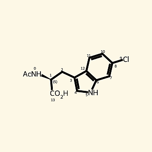 CC(=O)N[C@@H](Cc1c[nH]c2cc(Cl)ccc12)C(=O)O